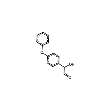 O=CC(O)c1ccc(Oc2ccccc2)cc1